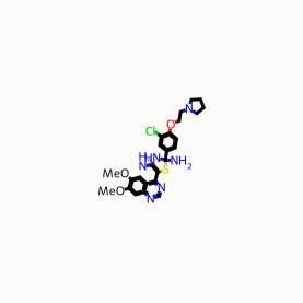 COc1cc2ncnc(C3=C(N)NC(N)(c4ccc(OCCN5CCCC5)c(Cl)c4)S3)c2cc1OC